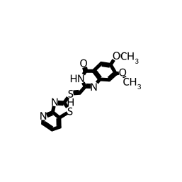 COc1cc2nc(C=[SH]c3nc4ncccc4s3)[nH]c(=O)c2cc1OC